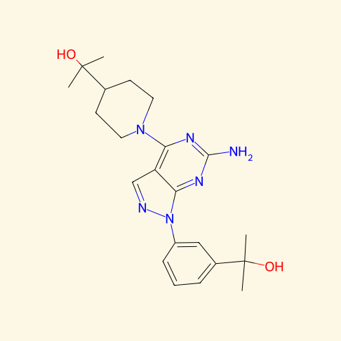 CC(C)(O)c1cccc(-n2ncc3c(N4CCC(C(C)(C)O)CC4)nc(N)nc32)c1